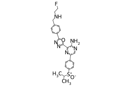 CC(C)[S+]([O-])c1ccc(-c2cnc(N)c(-c3nnc(-c4ccc(CNCCF)cc4)o3)n2)cc1